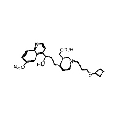 COc1ccc2nccc([C@H](O)CC[C@@H]3CCN(CCCSC4CCC4)C[C@@H]3CC(=O)O)c2c1